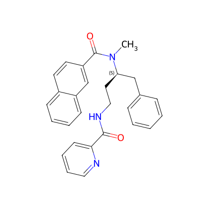 CN(C(=O)c1ccc2ccccc2c1)[C@H](CCNC(=O)c1ccccn1)Cc1ccccc1